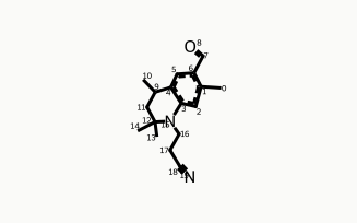 Cc1cc2c(cc1C=O)C(C)CC(C)(C)N2CCC#N